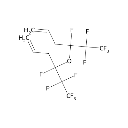 C=CCC(F)(OC(F)(CC=C)C(F)(F)C(F)(F)F)C(F)(F)C(F)(F)F